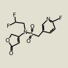 O=C1C=C(N(CC(F)F)S(=O)(=O)Cc2ccc(F)nc2)CO1